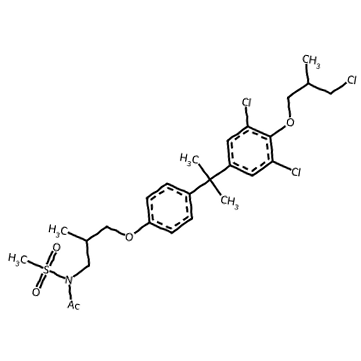 CC(=O)N(CC(C)COc1ccc(C(C)(C)c2cc(Cl)c(OCC(C)CCl)c(Cl)c2)cc1)S(C)(=O)=O